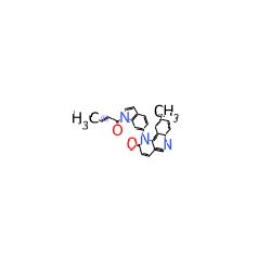 C/C=C/C(=O)n1ccc2ccc(-n3c(=O)ccc4cnc5ccc(C)cc5c43)cc21